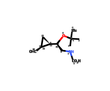 CC(C)(C)[Si](C)(C)O[C@@H](CNC(=O)O)[C@H]1C[C@@H]1C=O